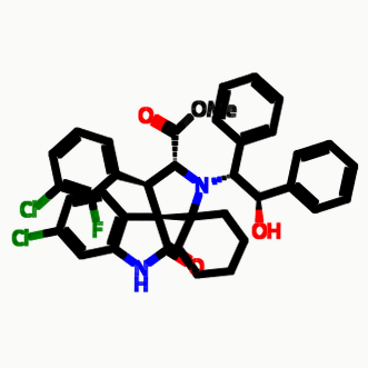 COC(=O)[C@H]1[C@H](c2cccc(Cl)c2F)[C@@]2(C(=O)Nc3cc(Cl)ccc32)C2(CCCCC2)N1[C@H](c1ccccc1)[C@H](O)c1ccccc1